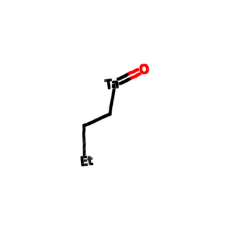 CCC[CH2][Ta]=[O]